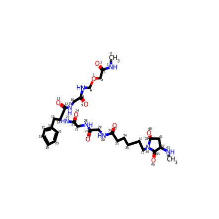 CNC(=O)COCNC(=O)CNC(=O)C(Cc1ccccc1)NC(=O)CNC(=O)CNC(=O)CCCCCN1C(=O)CC(NC)C1=O